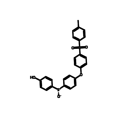 Cc1ccc(S(=O)(=O)c2ccc(Oc3ccc([S@+]([O-])c4ccc(O)cc4)cc3)cc2)cc1